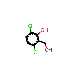 OCc1c(Cl)ccc(Cl)c1O